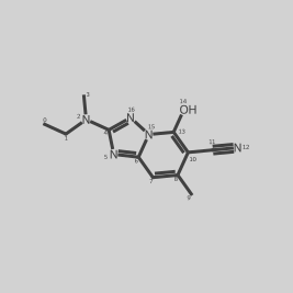 CCN(C)c1nc2cc(C)c(C#N)c(O)n2n1